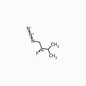 CC(C)[C@@H](F)CN=[N+]=[N-]